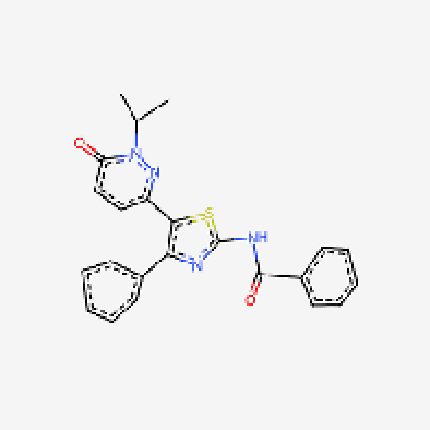 CC(C)n1nc(-c2sc(NC(=O)c3ccccc3)nc2-c2ccccc2)ccc1=O